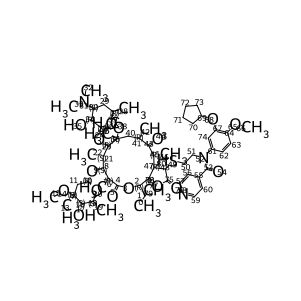 CC[C@H]1OC(=O)[C@H](C)[C@@H](O[C@H]2C[C@@](C)(OC)[C@@H](O)[C@H](C)O2)[C@H](C)[C@@H](O[C@@H]2O[C@H](C)C[C@H](N(C)C)[C@H]2O)[C@](C)(OC)C[C@@H](C)C(=O)[C@H](C)[C@H]2C(SCCN(C(=O)c3ccncc3)c3ccc(OC)c(OC4CCCC4)c3)C(=O)O[C@@]21C